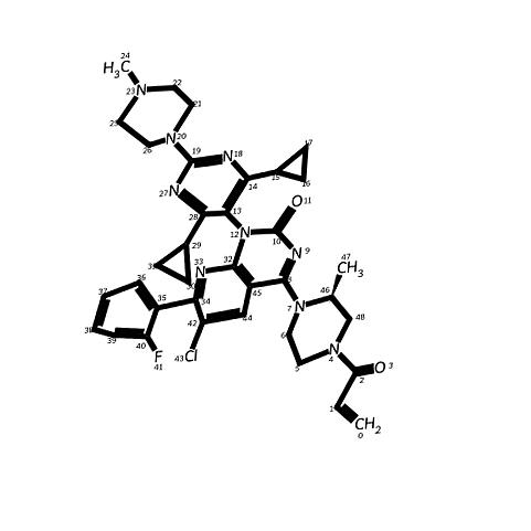 C=CC(=O)N1CCN(c2nc(=O)n(-c3c(C4CC4)nc(N4CCN(C)CC4)nc3C3CC3)c3nc(-c4ccccc4F)c(Cl)cc23)[C@@H](C)C1